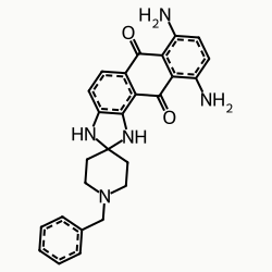 Nc1ccc(N)c2c1C(=O)c1ccc3c(c1C2=O)NC1(CCN(Cc2ccccc2)CC1)N3